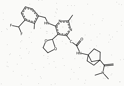 C=C(N(C)C)C12CCC(NC(=O)Cc3nc(C)nc(NCc4cccc(C(F)F)c4C)c3C3OCCO3)(CC1)C2